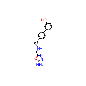 Nc1nnc(CN[C@@H]2C[C@H]2c2ccc(-c3cccc(O)c3)cc2)o1